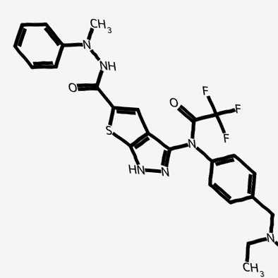 CCN(CC)Cc1ccc(N(C(=O)C(F)(F)F)c2n[nH]c3sc(C(=O)NN(C)c4ccccc4)cc23)cc1